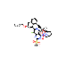 COCOc1cc(-c2ncc3c(N4CC5CCC(C4)N5C(=O)OC(C)(C)C)nc(S(C)(=O)=O)nc3c2F)c2c(C#C[Si](C(C)C)(C(C)C)C(C)C)cccc2c1